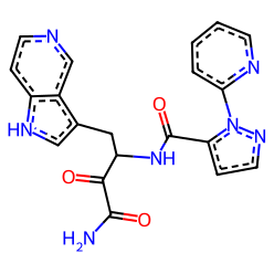 NC(=O)C(=O)C(Cc1c[nH]c2ccncc12)NC(=O)c1ccnn1-c1ccccn1